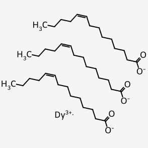 CCCC/C=C\CCCCCCCC(=O)[O-].CCCC/C=C\CCCCCCCC(=O)[O-].CCCC/C=C\CCCCCCCC(=O)[O-].[Dy+3]